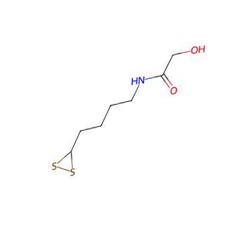 O=C(CO)NCCCCC1SS1